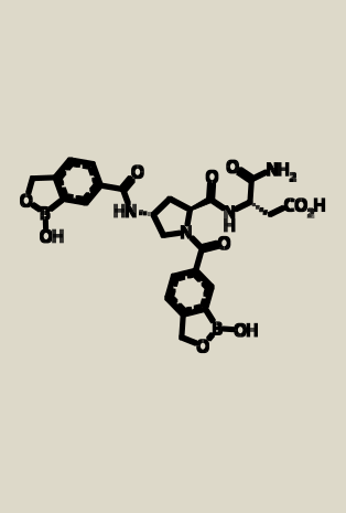 NC(=O)[C@H](CC(=O)O)NC(=O)[C@@H]1C[C@@H](NC(=O)c2ccc3c(c2)B(O)OC3)CN1C(=O)c1ccc2c(c1)B(O)OC2